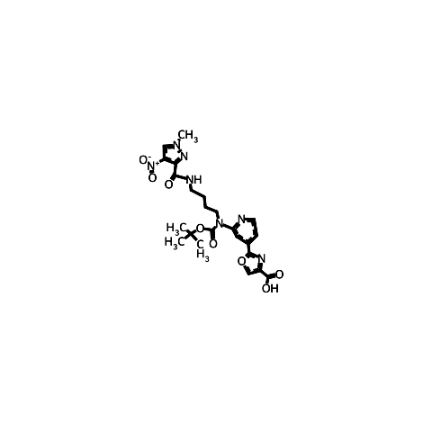 Cn1cc([N+](=O)[O-])c(C(=O)NCCCCN(C(=O)OC(C)(C)C)c2cc(-c3nc(C(=O)O)co3)ccn2)n1